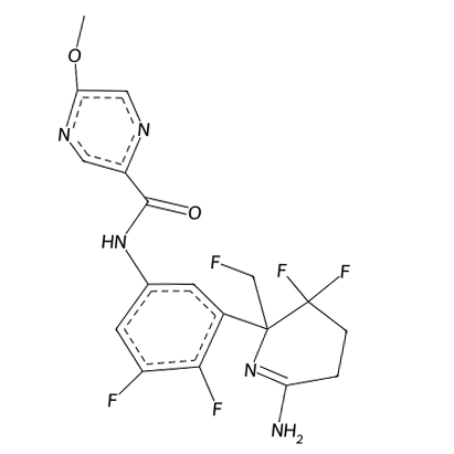 COc1cnc(C(=O)Nc2cc(F)c(F)c(C3(CF)N=C(N)CCC3(F)F)c2)cn1